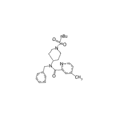 CCCCS(=O)(=O)N1CCC(N(Cc2ccccc2)C(=O)c2cc(C)ccn2)CC1